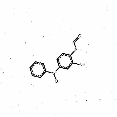 Nc1cc([S+]([O-])c2ccccc2)ccc1NC=O